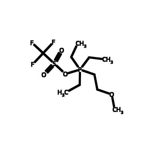 CCP(CC)(CC)(CCOC)OS(=O)(=O)C(F)(F)F